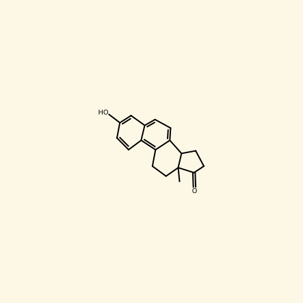 CC12CCc3c(ccc4cc(O)ccc34)C1CCC2=O